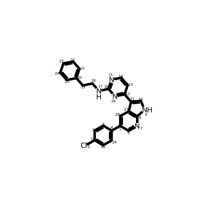 Clc1ccc(-c2cnc3[nH]cc(-c4ccnc(NCCc5ccccc5)n4)c3c2)cc1